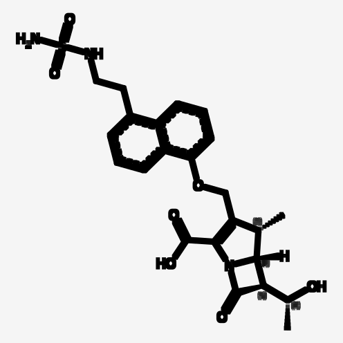 C[C@@H](O)[C@H]1C(=O)N2C(C(=O)O)=C(COc3cccc4c(CCNS(N)(=O)=O)cccc34)[C@H](C)[C@H]12